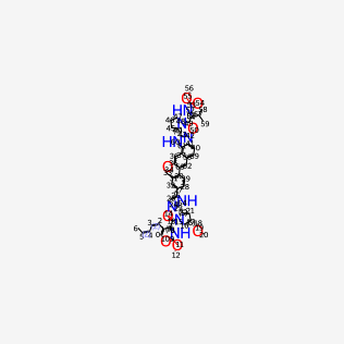 C=C(/C=C\C=C/C)[C@@H](NC(=O)OC)C(=O)N1C[C@@H](COC)C[C@H]1c1ncc(-c2ccc3c(c2)COc2cc4c(ccc5nc([C@@H]6CCCN6C(=O)[C@@H](NC(=O)OC)C(C)C)[nH]c54)cc2-3)[nH]1